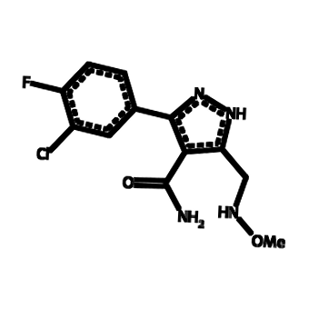 CONCc1[nH]nc(-c2ccc(F)c(Cl)c2)c1C(N)=O